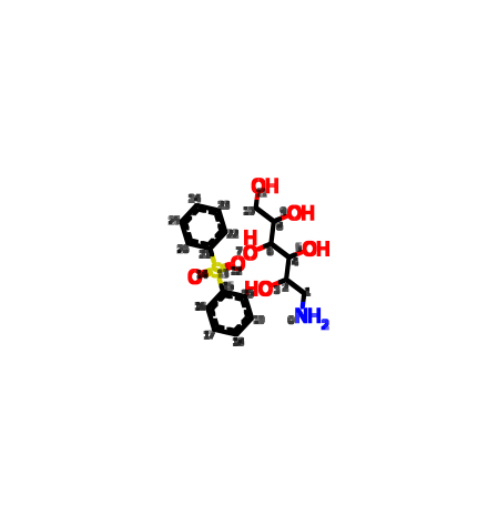 NCC(O)C(O)C(O)C(O)CO.O=S(=O)(c1ccccc1)c1ccccc1